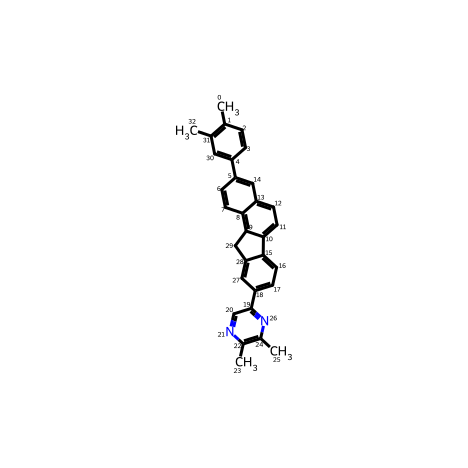 Cc1ccc(-c2ccc3c4c(ccc3c2)-c2ccc(-c3cnc(C)c(C)n3)cc2C4)cc1C